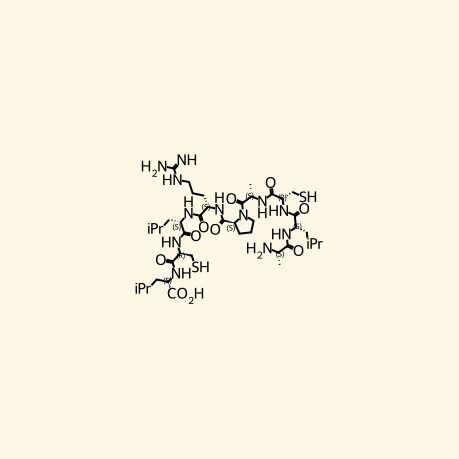 CC(C)C[C@H](NC(=O)[C@H](CS)NC(=O)[C@H](CC(C)C)NC(=O)[C@H](CCCNC(=N)N)NC(=O)[C@@H]1CCCN1C(=O)[C@H](C)NC(=O)[C@H](CS)NC(=O)[C@H](CC(C)C)NC(=O)[C@H](C)N)C(=O)O